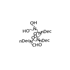 CCCCCCCCCCN(CC=O)C(=O)CN(CCCCCCCCCC)C(=O)CN(CCCCCCCCCC)C(=O)CN(CCO)CCO